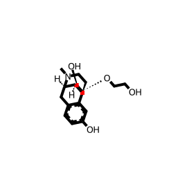 CN1CC[C@]23C[C@@H](OCCO)C[C@@H](O)[C@@H]2[C@H]1Cc1ccc(O)cc13